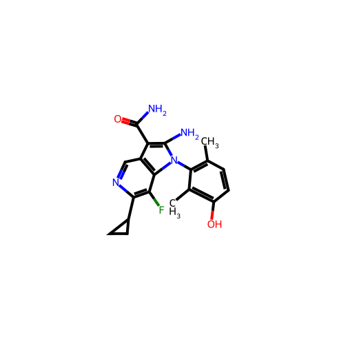 Cc1ccc(O)c(C)c1-n1c(N)c(C(N)=O)c2cnc(C3CC3)c(F)c21